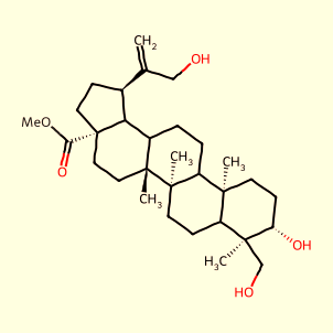 C=C(CO)[C@@H]1CC[C@]2(C(=O)OC)CC[C@]3(C)C(CCC4[C@@]5(C)CC[C@H](O)[C@@](C)(CO)C5CC[C@]43C)C12